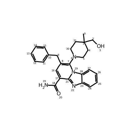 CC1(CO)CCN(c2c(Cc3ccccc3)cc(C(N)=O)c3nc4ccccc4n23)CC1